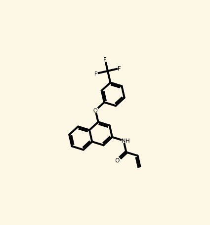 C=CC(=O)Nc1cc(Oc2cccc(C(F)(F)F)c2)c2ccccc2c1